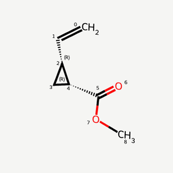 C=C[C@H]1C[C@H]1C(=O)OC